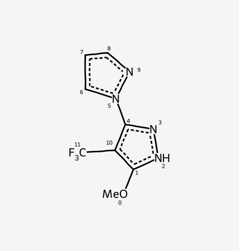 COc1[nH]nc(-n2cccn2)c1C(F)(F)F